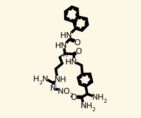 NC(=O)C(N)c1ccc(CNC(=O)[C@@H](CCCN/C(N)=N\[N+](=O)[O-])NC(=O)Nc2cccc3ccccc23)cc1